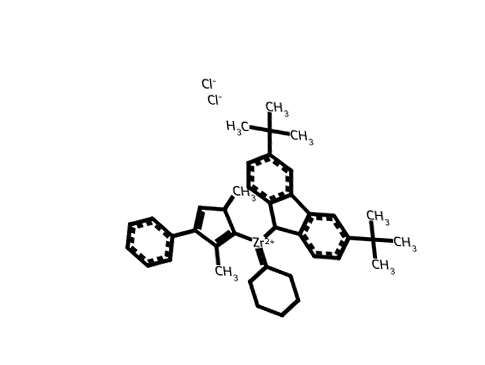 CC1=[C]([Zr+2](=[C]2CCCCC2)[CH]2c3ccc(C(C)(C)C)cc3-c3cc(C(C)(C)C)ccc32)C(C)C=C1c1ccccc1.[Cl-].[Cl-]